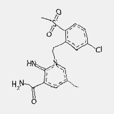 Cc1cc(C(N)=O)c(=N)n(Cc2cc(Cl)ccc2S(C)(=O)=O)c1